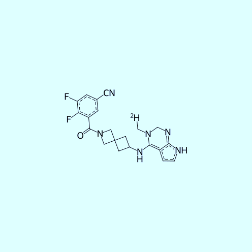 [2H]CN1CN=c2[nH]ccc2=C1NC1CC2(C1)CN(C(=O)c1cc(C#N)cc(F)c1F)C2